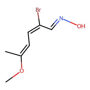 CO/C(C)=C/C=C(Br)\C=N\O